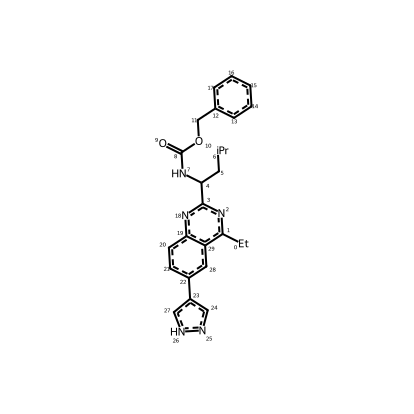 CCc1nc(C(CC(C)C)NC(=O)OCc2ccccc2)nc2ccc(-c3cn[nH]c3)cc12